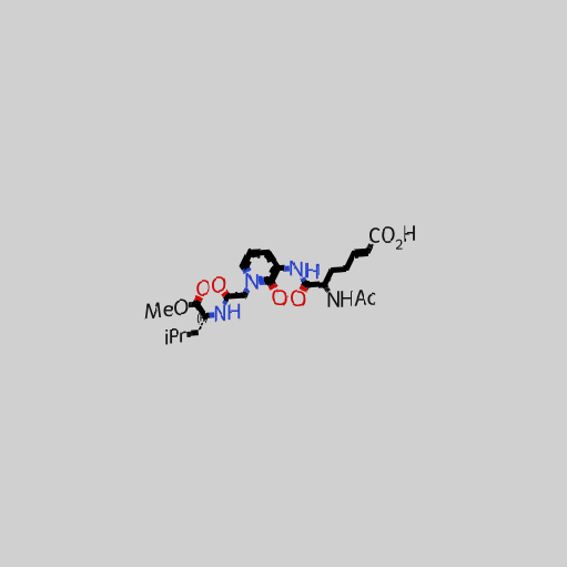 COC(=O)[C@@H](CC(C)C)NC(=O)Cn1cccc(NC(=O)C(CCC=CC(=O)O)NC(C)=O)c1=O